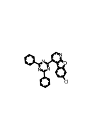 Clc1ccc2c(c1)oc1nccc(-c3nc(-c4ccccc4)nc(-c4ccccc4)n3)c12